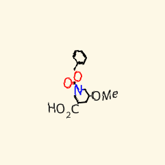 CO[C@H]1C[C@@H](C(=O)O)CN(C(=O)OCc2ccccc2)C1